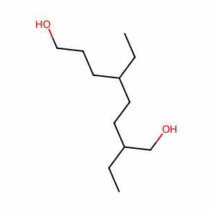 CCC(CO)CCC(CC)CCCO